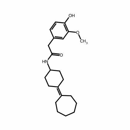 COc1cc(CC(=O)NC2CCC(=C3CCCCCC3)CC2)ccc1O